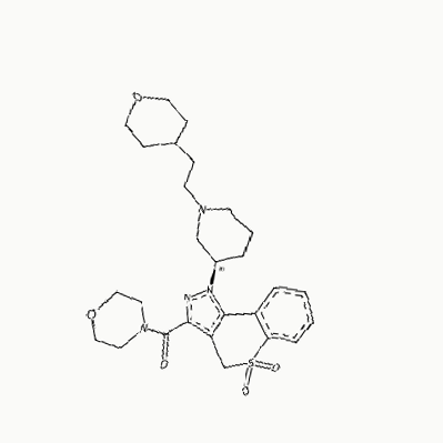 O=C(c1nn([C@@H]2CCCN(CCC3CCOCC3)C2)c2c1CS(=O)(=O)c1ccccc1-2)N1CCOCC1